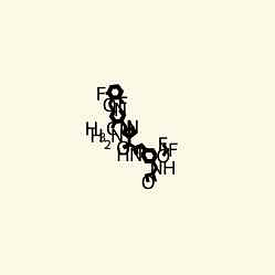 Cc1cc(Oc2c(F)cccc2F)ncc1-n1ncc(C(=O)c2cc3cc(OC(F)F)c(NC4COC4)cc3[nH]2)c1N